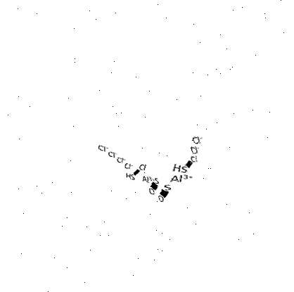 O=S.O=S.SCl.SCl.[Al+3].[Al+3].[Cl-].[Cl-].[Cl-].[Cl-].[Cl-].[Cl-]